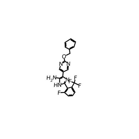 Nc1[nH]c(-c2c(F)cccc2C(F)(F)F)nc1-c1cnc(OCc2ccccc2)nc1